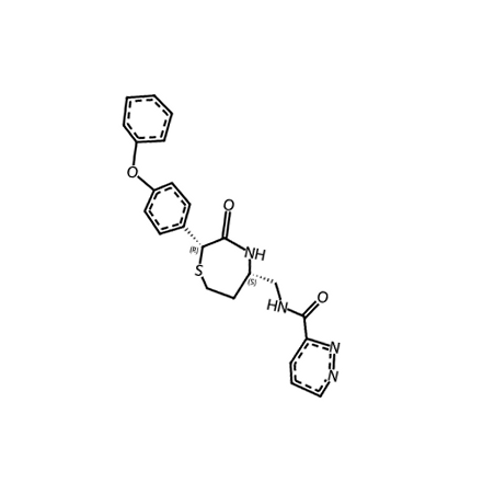 O=C(NC[C@@H]1CCS[C@H](c2ccc(Oc3ccccc3)cc2)C(=O)N1)c1cccnn1